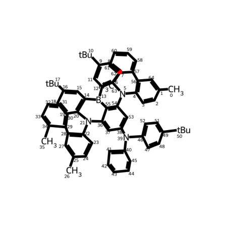 Cc1ccc(N2c3ccc(C(C)(C)C)cc3B3c4cc(C(C)(C)C)ccc4N(c4ccc(C)cc4-c4ccccc4C)c4cc(N(c5ccccc5)c5ccc(C(C)(C)C)cc5)cc2c43)c(-c2ccccc2C)c1